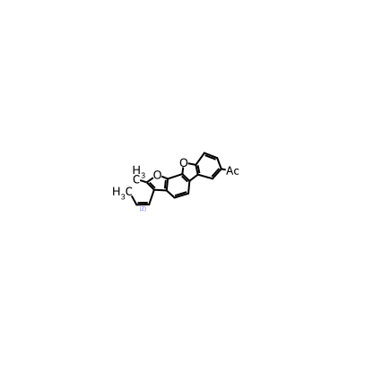 C/C=C\c1c(C)oc2c1ccc1c3cc(C(C)=O)ccc3oc12